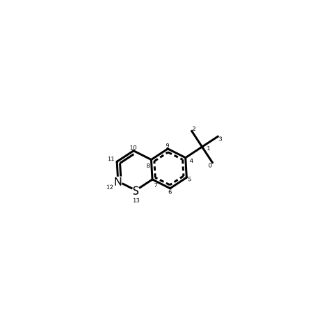 CC(C)(C)c1ccc2c(c1)C=C=NS2